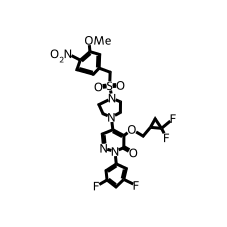 COc1cc(CS(=O)(=O)N2CCN(c3cnn(-c4cc(F)cc(F)c4)c(=O)c3OCC3CC3(F)F)CC2)ccc1[N+](=O)[O-]